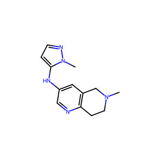 CN1CCc2ncc(Nc3ccnn3C)cc2C1